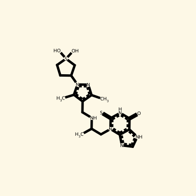 Cc1nn(C2CCS(O)(O)C2)c(C)c1CNC(C)Cn1c(=S)[nH]c(=O)c2[nH]cnc21